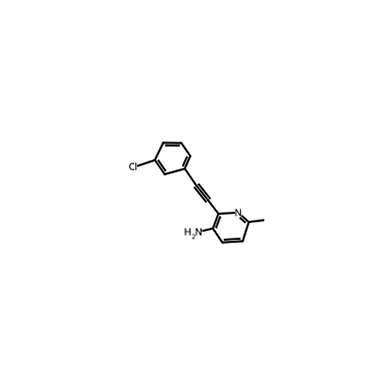 Cc1ccc(N)c(C#Cc2cccc(Cl)c2)n1